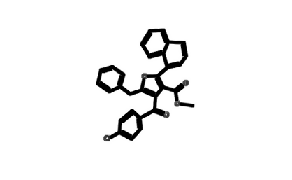 COC(=O)c1c(-c2cccc3ccccc23)oc(Cc2ccccc2)c1C(=O)c1ccc(Cl)cc1